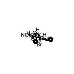 CC1=C(C(=O)OC/C=C/c2ccccc2)C(c2cccc(Br)c2)C(C(=O)OCCC#N)=C(C)N1